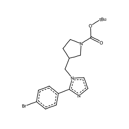 CC(C)(C)OC(=O)N1CCC(Cn2ccnc2-c2ccc(Br)cc2)C1